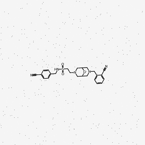 N#Cc1ccc(CNS(=O)(=O)CCN2CC3CN(Cc4ccccc4C#N)CC(C2)O3)cc1